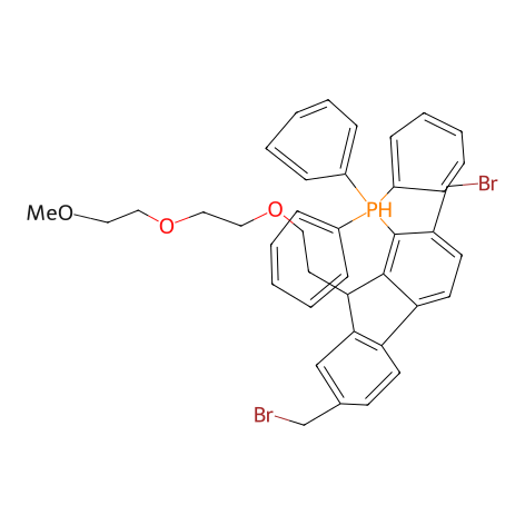 COCCOCCOCCC1c2cc(CBr)ccc2-c2ccc(CBr)c([PH](c3ccccc3)(c3ccccc3)c3ccccc3)c21